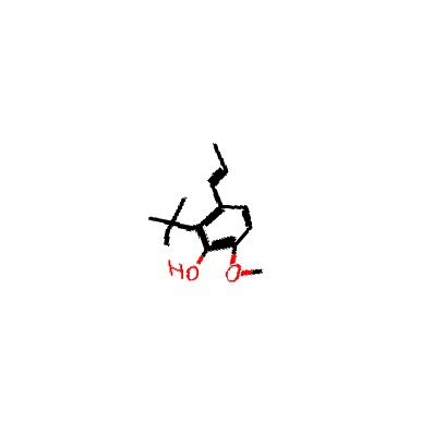 CC=Cc1ccc(OC)c(O)c1C(C)(C)C